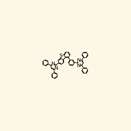 c1ccc(-c2cc(-c3ccccc3)nc(-c3cccc(-c4cccc5sc6cc(-c7nc(-c8ccccc8)cc(-c8ccccc8)n7)ccc6c45)c3)n2)cc1